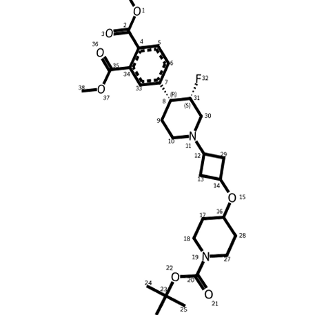 COC(=O)c1ccc([C@H]2CCN(C3CC(OC4CCN(C(=O)OC(C)(C)C)CC4)C3)C[C@H]2F)cc1C(=O)OC